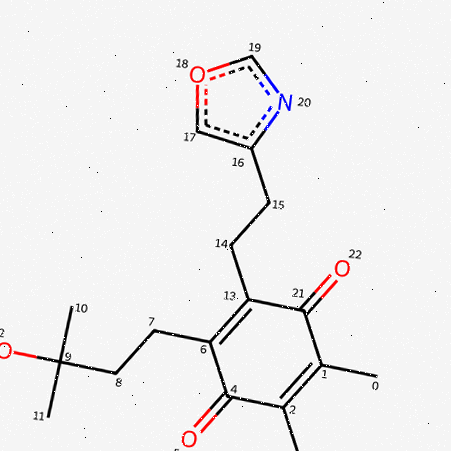 CC1=C(C)C(=O)C(CCC(C)(C)O)=C(CCc2cocn2)C1=O